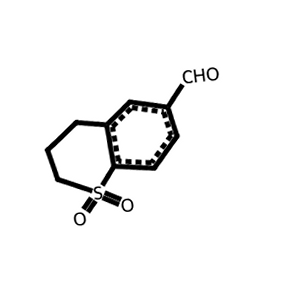 O=Cc1ccc2c(c1)CCCS2(=O)=O